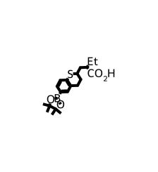 CCC(CC1CCc2cc(B3OC(C)(C)C(C)(C)O3)ccc2S1)C(=O)O